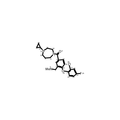 CNCc1cc(C(=O)N2CCCN(C3CC3)CC2)ccc1Oc1ccc(F)cc1Cl